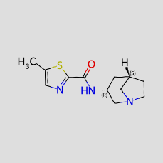 Cc1cnc(C(=O)N[C@@H]2C[C@@H]3CCN(C3)C2)s1